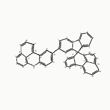 c1ccc2c(c1)-c1ccc(-c3ccc4c(c3)-c3cccc5cccc(c35)O4)cc1C21c2ccccc2-c2cccc3cccc1c23